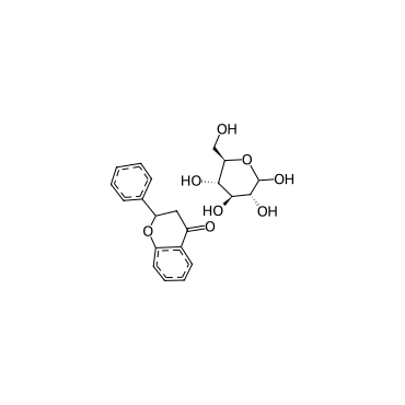 O=C1CC(c2ccccc2)Oc2ccccc21.OC[C@H]1OC(O)[C@H](O)[C@@H](O)[C@@H]1O